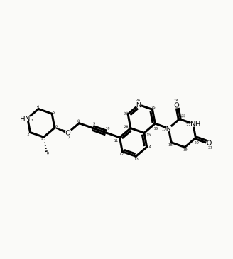 C[C@@H]1CNCC[C@H]1OCC#Cc1cccc2c(N3CCC(=O)NC3=O)cncc12